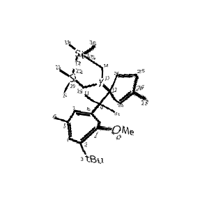 COc1c(C(C)(C)C)cc(C)cc1C(C)(C)[C]1([Y]([CH2][Si](C)(C)C)[CH2][Si](C)(C)C)C=CC(C)=C1